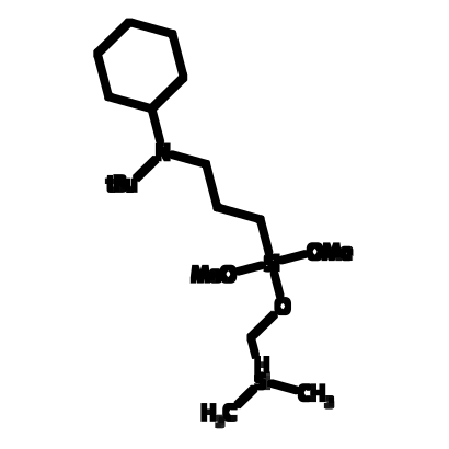 CO[Si](CCCN(C1CCCCC1)C(C)(C)C)(OC)OC[SiH](C)C